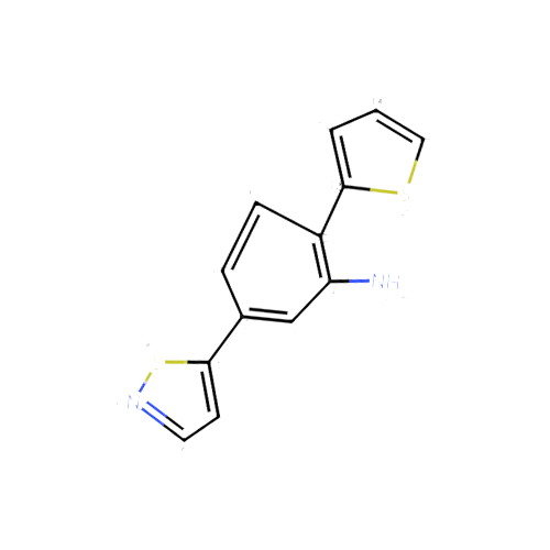 Nc1cc(-c2ccns2)ccc1-c1cccs1